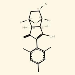 Cc1cc(C)c(C2=C(O)[C@@H]3[C@@H]4O[C@@H](C[C@H]4C#N)[C@@H]3C2=O)c(C)c1